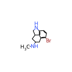 CNC1Cc2c(Br)ccc3c2C(CN3)C1